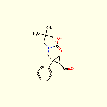 CC(C)(C)CN(C[C@]1(c2ccccc2)C[C@H]1C=O)C(=O)O